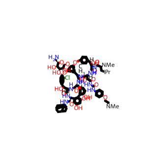 CNCCOc1ccc(NC(=O)NC(=O)C[C@@H]2NC(=O)[C@H](NC(=O)[C@@H](CC(C)C)NC)[C@H](O)c3ccc(c(C)c3)Oc3cc4cc(c3O[C@@H]3O[C@H](CN)[C@@H](O)[C@H](O)[C@H]3O)Oc3ccc(cc3Cl)[C@@H](O)[C@@H]3NC(=O)[C@H](NC(=O)C4NC2=O)c2ccc(O)c(c2)-c2c(O)cc(O)cc2[C@@H](C(=O)NC2C4CC5CC(C4)CC2C5)NC3=O)cc1